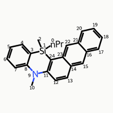 CCC[Si]1(C)c2ccccc2N(C)c2ccc3cc4ccccc4cc3c21